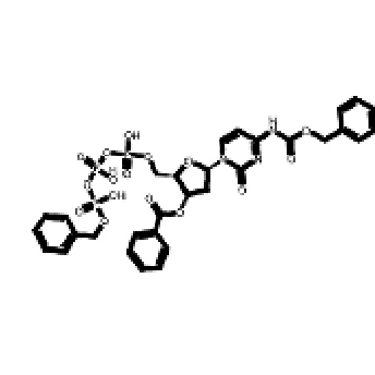 O=C(Nc1ccn([C@H]2C[C@@H](OC(=O)c3ccccc3)[C@@H](COP(=O)(O)OP(=O)(O)OP(=O)(O)OCc3ccccc3)O2)c(=O)n1)OCc1ccccc1